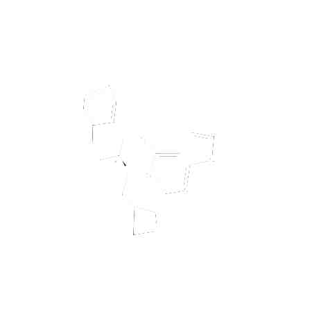 FC(F)(F)c1cc2c(N[C@H]3c4ccccc4OC[C@@H]3OCC3COC3)ncnc2[nH]1